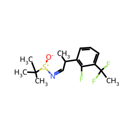 CC(/C=N\[S@+]([O-])C(C)(C)C)c1cccc(C(C)(F)F)c1F